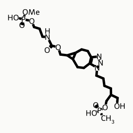 COP(=O)(O)OCCCNC(=O)OCC1C2CCc3nnn(CCCCC(CO)COP(C)(=O)O)c3CCC21